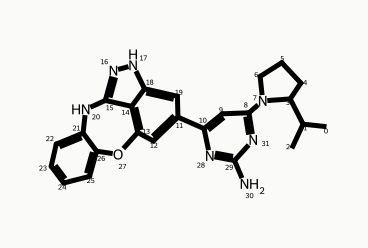 CC(C)C1CCCN1c1cc(-c2cc3c4c(n[nH]c4c2)Nc2ccccc2O3)nc(N)n1